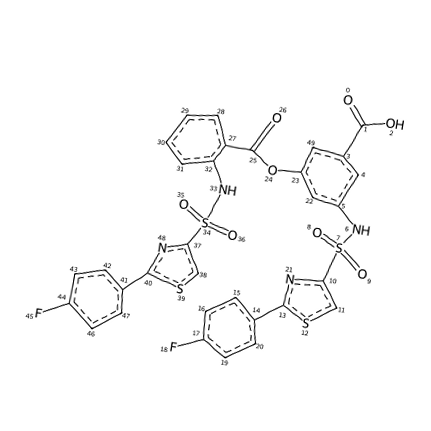 O=C(O)c1cc(NS(=O)(=O)c2csc(-c3ccc(F)cc3)n2)cc(OC(=O)c2ccccc2NS(=O)(=O)c2csc(-c3ccc(F)cc3)n2)c1